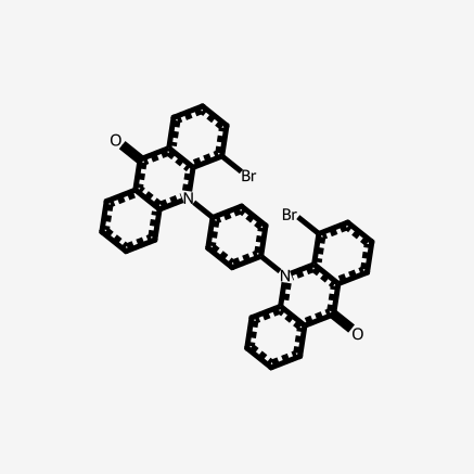 O=c1c2ccccc2n(-c2ccc(-n3c4ccccc4c(=O)c4cccc(Br)c43)cc2)c2c(Br)cccc12